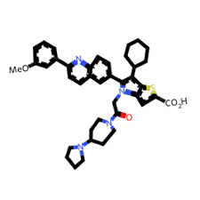 COc1cccc(-c2ccc3cc(-c4c(C5CCCCC5)c5sc(C(=O)O)cc5n4CC(=O)N4CCC(N5CCCC5)CC4)ccc3n2)c1